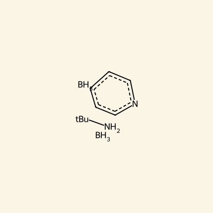 B.B.CC(C)(C)N.c1ccncc1